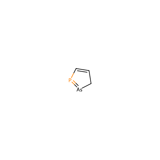 C1=CP=[As]C1